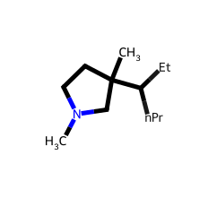 CCCC(CC)C1(C)CCN(C)C1